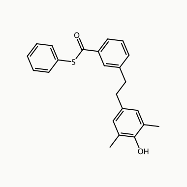 Cc1cc(CCc2cccc(C(=O)Sc3ccccc3)c2)cc(C)c1O